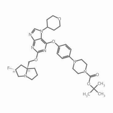 CC(C)(C)OC(=O)N1CCN(c2ccc(Oc3nc(OC[C@@]45CCCN4C[C@H](F)C5)nc4ncn(C5CCOCC5)c34)cc2)CC1